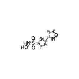 O=S(=O)(NO)c1ccc(-c2ccon2)s1